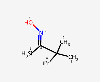 CC(C)C(C)(C)C([SiH3])=NO